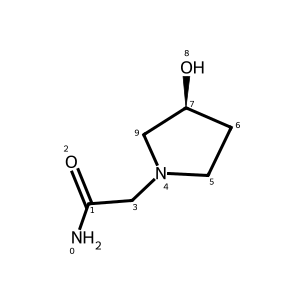 NC(=O)CN1CC[C@H](O)C1